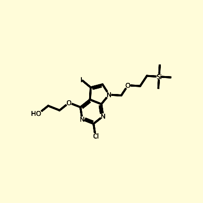 C[Si](C)(C)CCOCn1cc(I)c2c(OCCO)nc(Cl)nc21